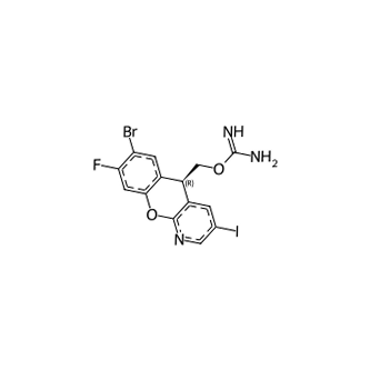 N=C(N)OC[C@@H]1c2cc(Br)c(F)cc2Oc2ncc(I)cc21